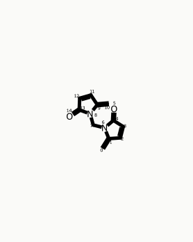 C=C1C=CC(=O)N1CN1C(=C)C=CC1=O